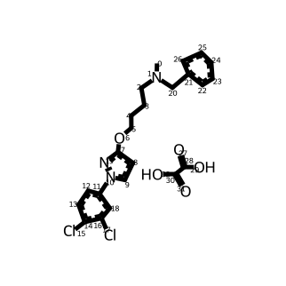 CN(CCCCOc1ccn(-c2ccc(Cl)c(Cl)c2)n1)Cc1ccccc1.O=C(O)C(=O)O